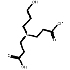 O=C(O)CCN(CCCO)CCC(=O)O